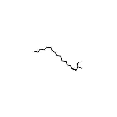 CCCC/C=C\CCCCCCCC/C=C\C(C)CO